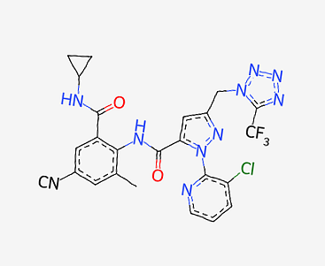 [C-]#[N+]c1cc(C)c(NC(=O)c2cc(Cn3nnnc3C(F)(F)F)nn2-c2ncccc2Cl)c(C(=O)NC2CC2)c1